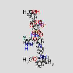 CCOC[C@H](NC1CC2(CCN(c3ccc(C(=O)NS(=O)(=O)c4cc5c(c([N+](=O)[O-])c4)O[C@H]([C@H]4CC[C@](C)(O)CC4)CO5)c(Oc4cnc5[nH]cc(F)c5c4)c3)CC2)C1)c1ccccc1C(C)C